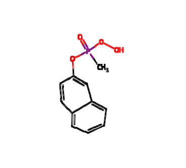 CP(=O)(OO)Oc1ccc2ccccc2c1